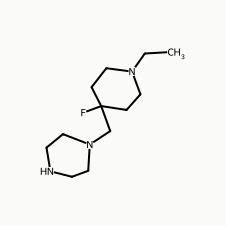 CCN1CCC(F)(CN2CCNCC2)CC1